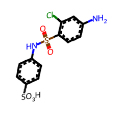 Nc1ccc(S(=O)(=O)Nc2ccc(S(=O)(=O)O)cc2)c(Cl)c1